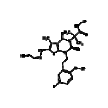 Cc1c(N/N=C\C=N)sc2c1c(=O)n(C(C)(C)C(=O)NC(C)C)c(=O)n2CCc1cc(F)ccc1OC(C)C